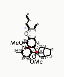 C=C/C=C(\C=C)Oc1cnc(C(=O)N2C3CCC2CN(c2cnc(C)cc2OC)C3)cc1OC